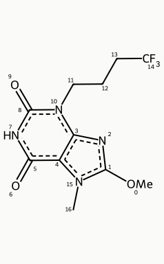 COc1nc2c(c(=O)[nH]c(=O)n2CCCC(F)(F)F)n1C